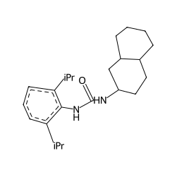 CC(C)c1cccc(C(C)C)c1NC(=O)NC1CCC2CCCCC2C1